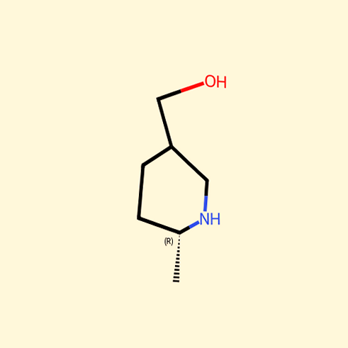 C[C@@H]1CCC(CO)CN1